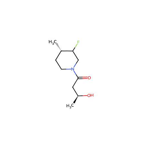 C[C@H](O)CC(=O)N1CC[C@H](C)C(F)C1